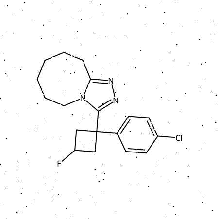 FC1CC(c2ccc(Cl)cc2)(c2nnc3n2CCCCCC3)C1